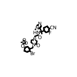 Cn1cncc1C(C)(NC(=O)CN1CCN(Cc2cc(OS(C)(=O)=O)ccc2Br)C(=O)C1)c1ccc(C#N)c(F)c1